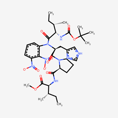 CC[C@H](C)[C@H](NC(=O)[C@@H]1CCCN1C(=O)[C@H](Cc1c[nH]cn1)N(C(=O)[C@@H](NC(=O)OC(C)(C)C)[C@@H](C)CC)c1cccc([N+](=O)[O-])c1[N+](=O)[O-])C(=O)OC